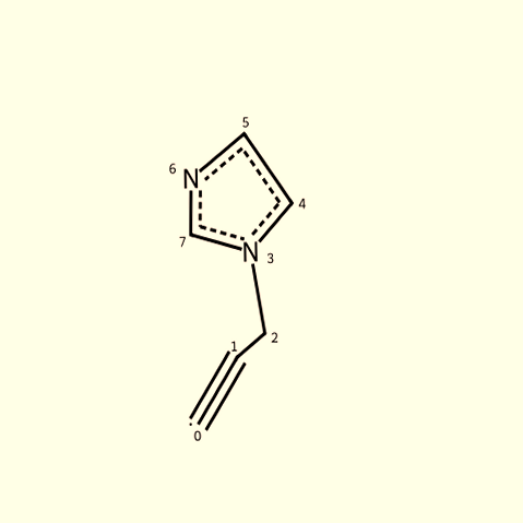 [C]#CCn1ccnc1